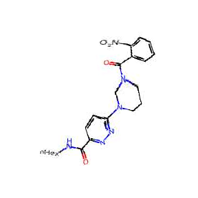 CCCCCCNC(=O)c1ccc(N2CCCN(C(=O)c3ccccc3[N+](=O)[O-])C2)nn1